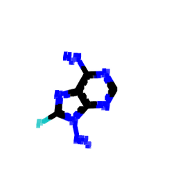 Nc1ncnc2c1nc(F)n2N